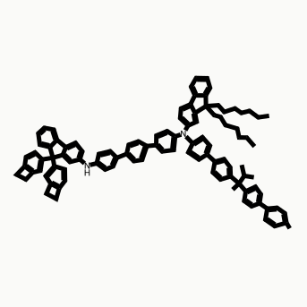 CCCCCCCC1(CCCCCCC)c2ccccc2-c2ccc(N(c3ccc(-c4ccc(-c5ccc(Nc6ccc7c(c6)C(c6ccc8c(c6)CC8)(c6ccc8c(c6)CC8)c6ccccc6-7)cc5)cc4)cc3)c3ccc(-c4ccc(C(C)(c5ccc(-c6ccc(C)cc6)cc5)C(C)C)cc4)cc3)cc21